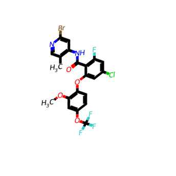 COc1cc(OC(F)(F)F)ccc1Oc1cc(Cl)cc(F)c1C(=O)Nc1cc(Br)ncc1C